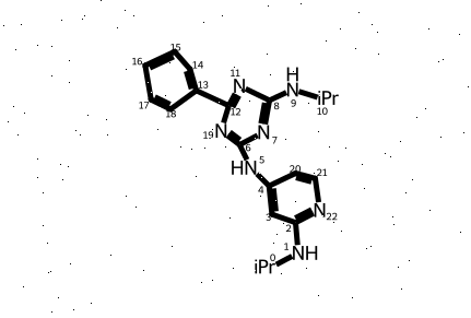 CC(C)Nc1cc(Nc2nc(NC(C)C)nc(-c3ccccc3)n2)ccn1